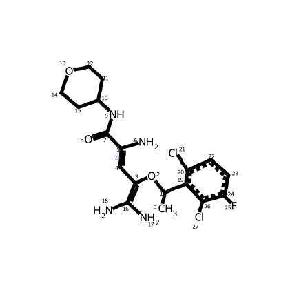 CC(OC(/C=C(\N)C(=O)NC1CCOCC1)=C(N)N)c1c(Cl)ccc(F)c1Cl